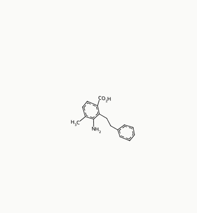 Cc1ccc(C(=O)O)c(CCc2ccccc2)c1N